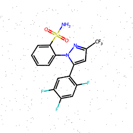 NS(=O)(=O)c1ccccc1-n1nc(C(F)(F)F)cc1-c1cc(F)c(F)cc1F